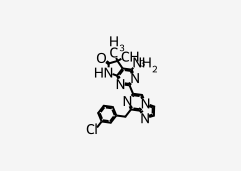 CC1(C)C(=O)Nc2nc(-c3cn4ccnc4c(Cc4cccc(Cl)c4)n3)nc(N)c21